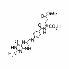 COC(=O)CC[C@H](NC(=O)c1ccc(NCC2=Nc3c(nc(N)[nH]c3=O)NC2)cc1)C(=O)O